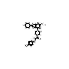 Nc1nc(N2CCN(C(=O)COc3ccc(Cl)cc3)CC2)c2nc(C3CCCCC3)oc2n1